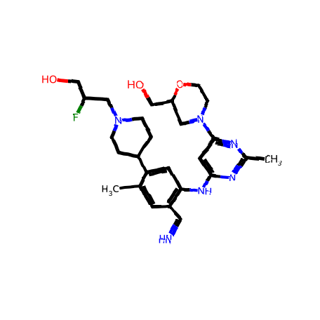 Cc1nc(Nc2cc(C3CCN(CC(F)CO)CC3)c(C)cc2C=N)cc(N2CCOC(CO)C2)n1